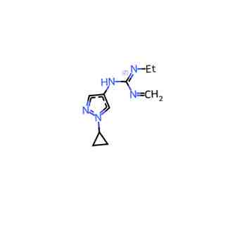 C=N/C(=N\CC)Nc1cnn(C2CC2)c1